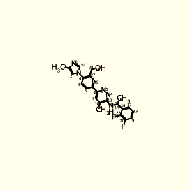 Cc1cn(-c2ccc(-c3cc(C)c(N[C@@H](C)c4cccc(F)c4F)nn3)nc2CO)cn1